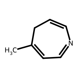 CC1=CC=NC=CC1